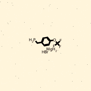 Br.FC(F)(F)Oc1ccc(CP)cc1.[MgH2]